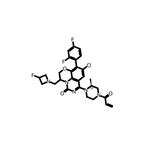 C=CC(=O)N1CCN(c2nc(=O)n3c4c(c(-c5ccc(F)cc5F)c(Cl)cc24)OCC3CN2CC(F)C2)[C@@H](C)C1